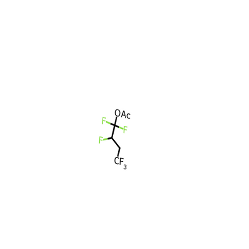 CC(=O)OC(F)(F)C(F)CC(F)(F)F